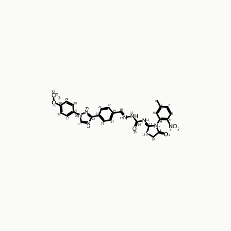 Cc1ccc([N+](=O)[O-])c(N2C(=O)CS/C2=N\C(=O)N/N=C/c2ccc(-c3ncn(-c4ccc(OC(F)(F)F)cc4)n3)cc2)c1